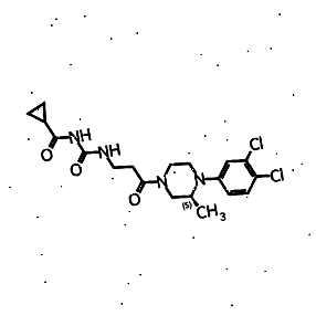 C[C@H]1CN(C(=O)CCNC(=O)NC(=O)C2CC2)CCN1c1ccc(Cl)c(Cl)c1